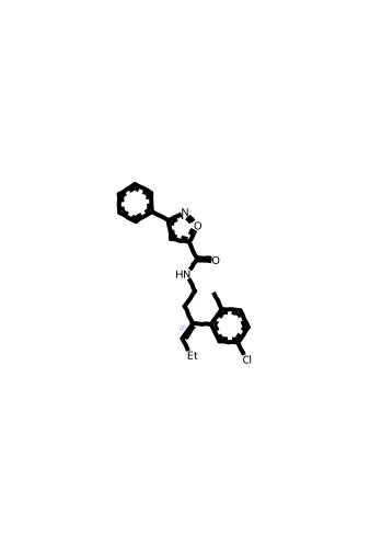 CC/C=C(/CCNC(=O)c1cc(-c2ccccc2)no1)c1cc(Cl)ccc1C